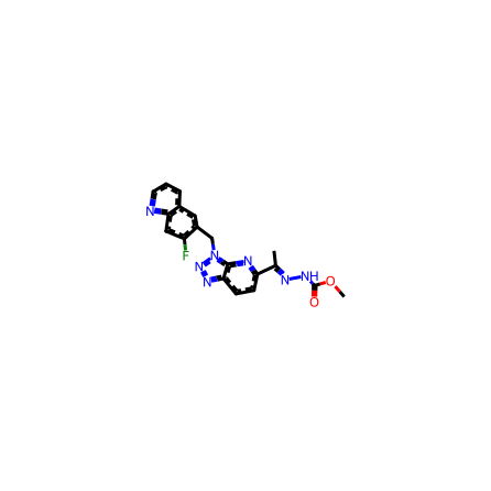 COC(=O)N/N=C(\C)c1ccc2nnn(Cc3cc4cccnc4cc3F)c2n1